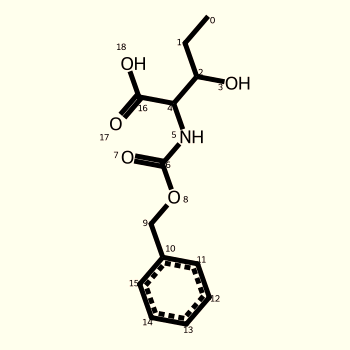 CCC(O)C(NC(=O)OCc1ccccc1)C(=O)O